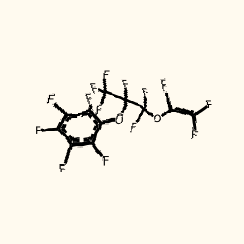 FC(F)=C(F)OC(F)(F)C(F)(Oc1c(F)c(F)c(F)c(F)c1F)C(F)(F)F